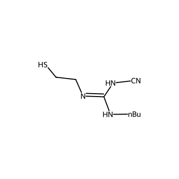 CCCCN/C(=N/CCS)NC#N